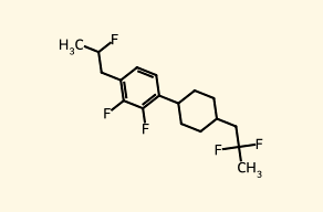 CC(F)Cc1ccc(C2CCC(CC(C)(F)F)CC2)c(F)c1F